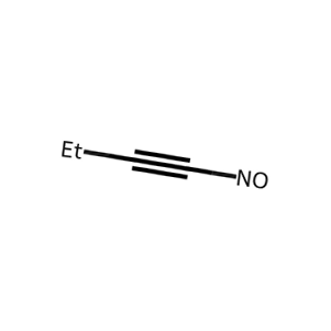 CCC#CN=O